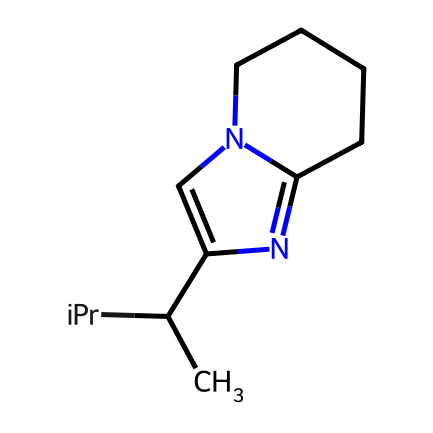 CC(C)C(C)c1cn2c(n1)CCCC2